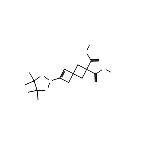 CCCOC(=O)C1(C(=O)OCCC)CC2(C=C(B3OC(C)(C)C(C)(C)O3)C2)C1